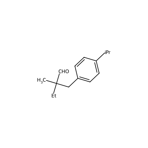 CCC(C)(C=O)Cc1ccc(C(C)C)cc1